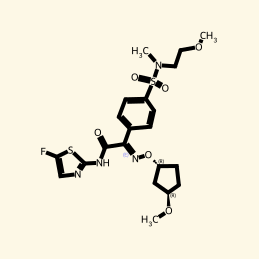 COCCN(C)S(=O)(=O)c1ccc(/C(=N\O[C@@H]2CC[C@@H](OC)C2)C(=O)Nc2ncc(F)s2)cc1